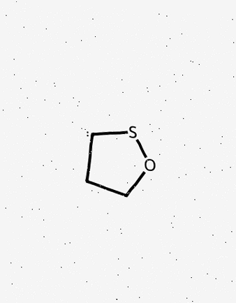 [C]1CCOS1